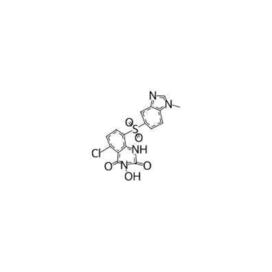 Cn1cnc2cc(S(=O)(=O)c3ccc(Cl)c4c(=O)n(O)c(=O)[nH]c34)ccc21